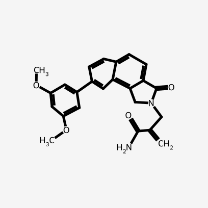 C=C(CN1Cc2c(ccc3ccc(-c4cc(OC)cc(OC)c4)cc23)C1=O)C(N)=O